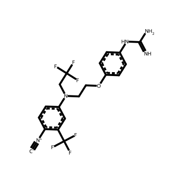 [C-]#[N+]c1ccc(N(CCOc2ccc(NC(=N)N)cc2)CC(F)(F)F)cc1C(F)(F)F